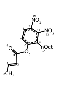 C/C=C/C(=O)Oc1ccc([N+](=O)[O-])c([N+](=O)[O-])c1CCCCCCCC